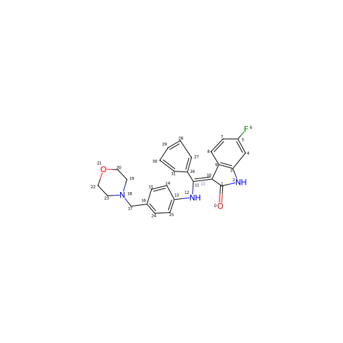 O=C1Nc2cc(F)ccc2/C1=C(/Nc1ccc(CN2CCOCC2)cc1)c1ccccc1